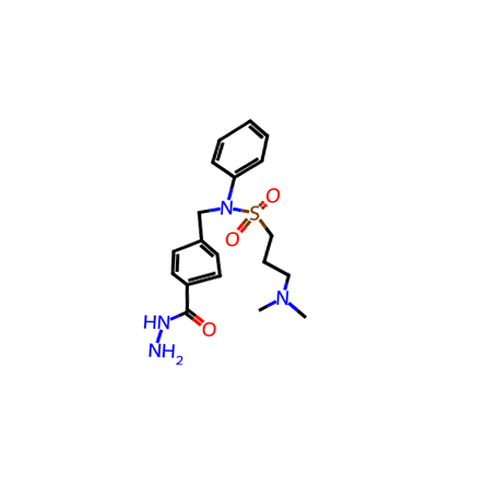 CN(C)CCCS(=O)(=O)N(Cc1ccc(C(=O)NN)cc1)c1ccccc1